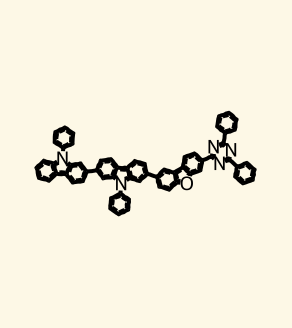 c1ccc(-c2nc(-c3ccccc3)nc(-c3ccc4c(c3)oc3ccc(-c5ccc6c7ccc(-c8ccc9c%10ccccc%10n(-c%10ccccc%10)c9c8)cc7n(-c7ccccc7)c6c5)cc34)n2)cc1